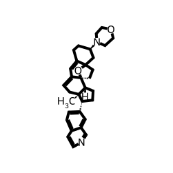 C[C@]12CC=C3C=C4CC[C@@H](N5CCOCC5)CC45CC[C@]3(O5)[C@@H]1CC[C@@H]2c1ccc2ccncc2c1